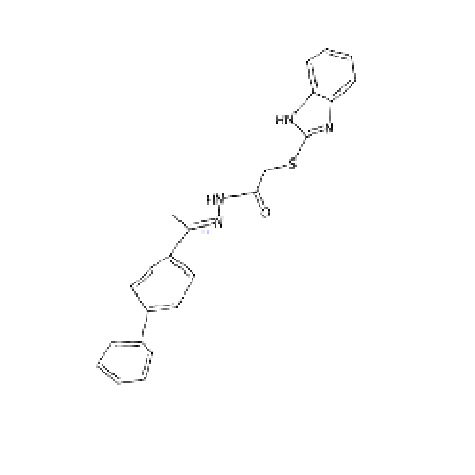 C/C(=N\NC(=O)CSc1nc2ccccc2[nH]1)c1ccc(-c2ccccc2)cc1